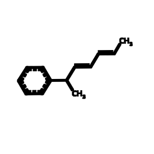 CC=CC=CC(C)c1ccccc1